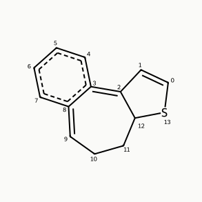 C1=CC2=c3ccccc3=CCCC2S1